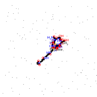 CC[C@H](C)[C@@H]1NC(=O)CNC(=O)[C@@H]2Cc3c([nH]c4c(CSCCCCNC(=O)CCCCCNC(=O)CCCCCN5C(=O)C=CC5=O)c(OC)ccc34)[S+]([O-])C[C@H](NC(=O)CNC1=O)C(=O)N[C@@H](CCC(N)=O)C(=O)N1C[C@H](O)CC1C(=O)N[C@@H]([C@@H](C)[C@@H](O)CO)C(=O)N2